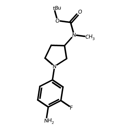 CN(C(=O)OC(C)(C)C)C1CCN(c2ccc(N)c(F)c2)C1